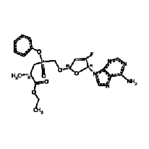 CCOC(=O)[C@H](C)CP(=O)(CO[C@@H]1C=C(F)[C@H](n2cnc3c(N)ncnc32)O1)Oc1ccccc1